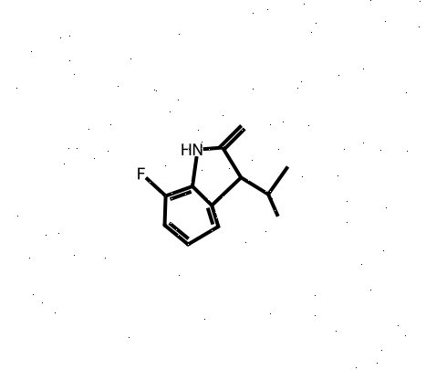 C=C1Nc2c(F)cccc2C1C(C)C